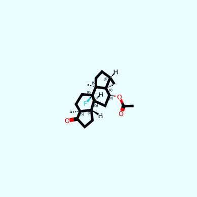 CC(=O)O[C@@H]1C[C@H]2[C@@H]3CCC(=O)[C@@]3(C)CC[C@]2(F)[C@@]2(C)CC[C@H]3C[C@]312